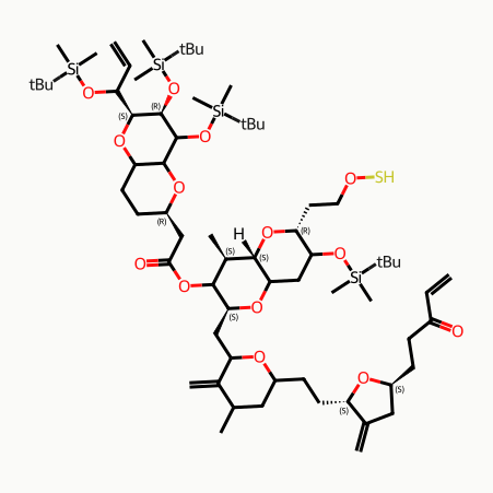 C=CC(=O)CC[C@H]1CC(=C)[C@H](CCC2CC(C)C(=C)C(C[C@@H]3OC4CC(O[Si](C)(C)C(C)(C)C)[C@@H](CCOS)O[C@H]4[C@H](C)C3OC(=O)C[C@H]3CCC4O[C@@H](C(C=C)O[Si](C)(C)C(C)(C)C)[C@@H](O[Si](C)(C)C(C)(C)C)C(O[Si](C)(C)C(C)(C)C)C4O3)O2)O1